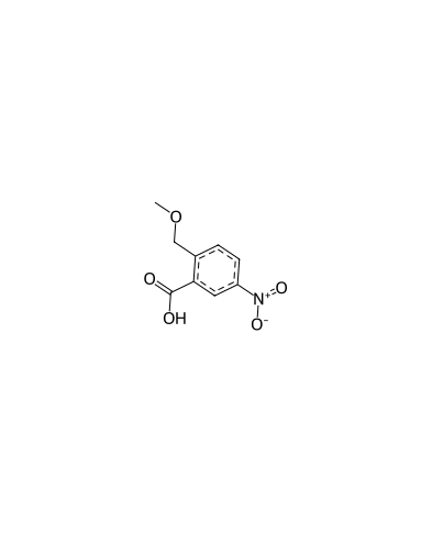 COCc1ccc([N+](=O)[O-])cc1C(=O)O